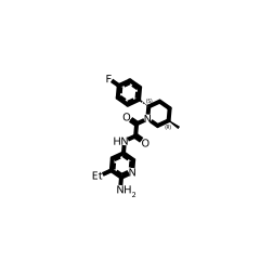 CCc1cc(NC(=O)C(=O)N2C[C@H](C)CC[C@H]2c2ccc(F)cc2)cnc1N